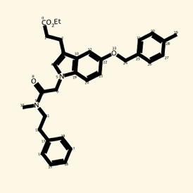 CCOC(=O)CCc1cn(CC(=O)N(C)CCc2ccccc2)c2ccc(OCc3ccc(C)cc3)cc12